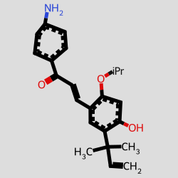 C=CC(C)(C)c1cc(C=CC(=O)c2ccc(N)cc2)c(OC(C)C)cc1O